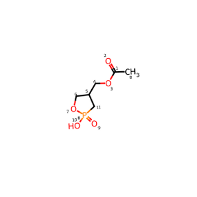 CC(=O)OCC1COP(=O)(O)C1